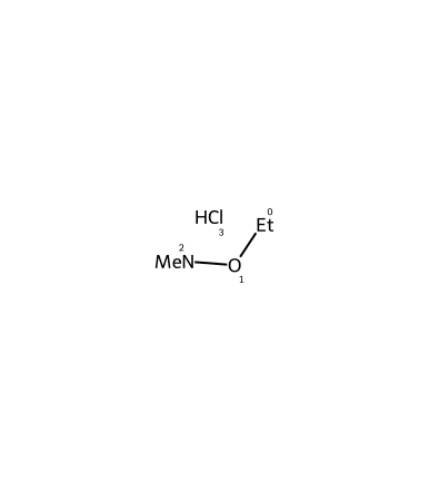 CCONC.Cl